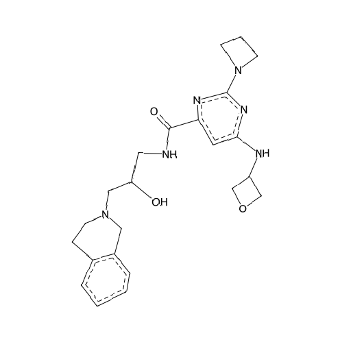 O=C(NCC(O)CN1CCc2ccccc2C1)c1cc(NC2COC2)nc(N2CCC2)n1